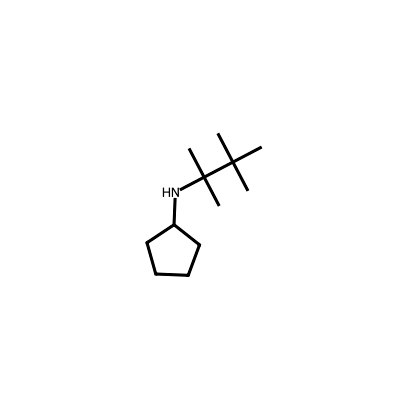 CC(C)(C)C(C)(C)NC1CCCC1